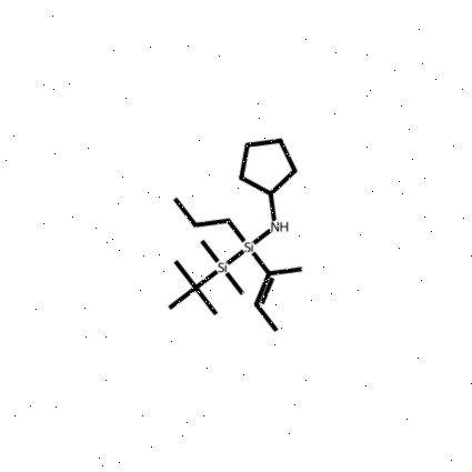 C/C=C(\C)[Si](CCC)(NC1CCCC1)[Si](C)(C)C(C)(C)C